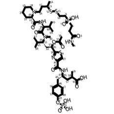 CNC(=O)CCP(=O)(O)CCSSC(C)CCN1CCCC[C@@H]1C(=O)N[C@H](C(=O)N(C)[C@H](C[C@@H](OC(C)=O)c1nc(C(=O)N[C@@H](Cc2ccc(OP(=O)(O)O)cc2)CC(C)C(=O)O)cs1)C(C)C)C(C)C